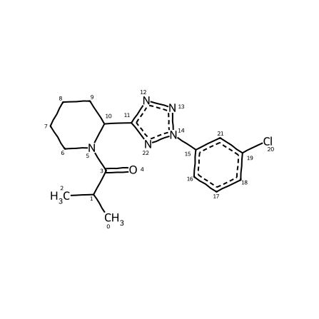 CC(C)C(=O)N1CCCCC1c1nnn(-c2cccc(Cl)c2)n1